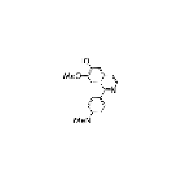 CNc1ccc(-c2nccc3cc(O)c(OC)cc23)cc1